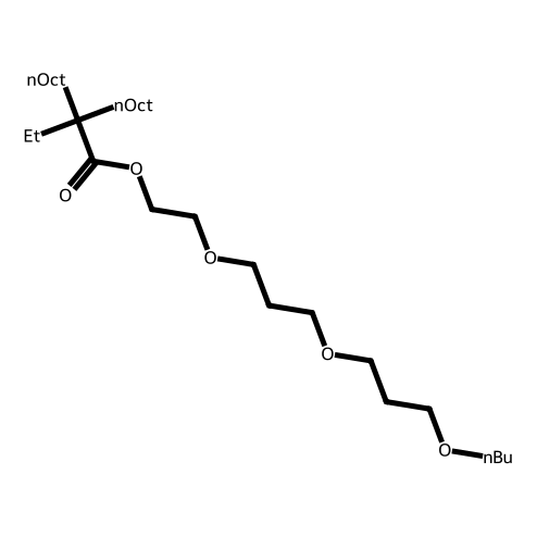 CCCCCCCCC(CC)(CCCCCCCC)C(=O)OCCOCCCOCCCOCCCC